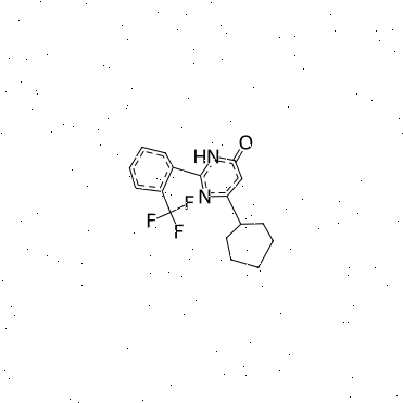 O=c1cc(C2CCCCC2)nc(-c2ccccc2C(F)(F)F)[nH]1